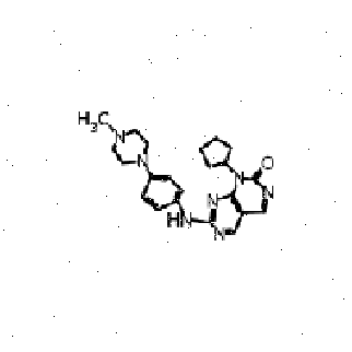 CN1CCN(c2ccc(Nc3ncc4cnc(=O)n(C5CCCC5)c4n3)cc2)CC1